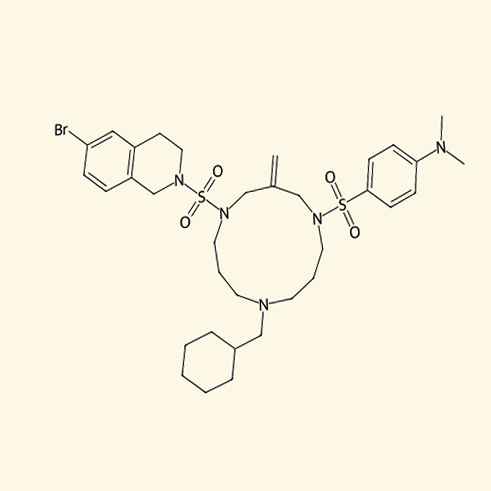 C=C1CN(S(=O)(=O)c2ccc(N(C)C)cc2)CCCN(CC2CCCCC2)CCCN(S(=O)(=O)N2CCc3cc(Br)ccc3C2)C1